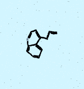 C=[C]Cc1ccnc2ccccc12